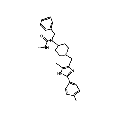 CNC(=O)N(Cc1ccccc1)C1CCN(Cc2nc(-c3ccc(C)cc3)[nH]c2C)CC1